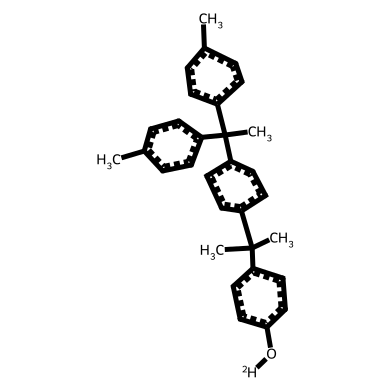 [2H]Oc1ccc(C(C)(C)c2ccc(C(C)(c3ccc(C)cc3)c3ccc(C)cc3)cc2)cc1